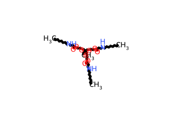 CCCCCCCCNCCC(=O)OCCOCC(CC)(COCCOC(=O)CCNCCCCCCCC)COCCOC(=O)CCNCCCCCCCC